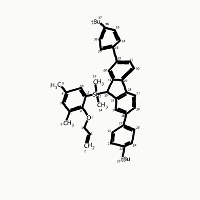 C=CCOc1c(C)cc(C)cc1[Si](C)(C)C1c2cc(-c3ccc(C(C)(C)C)cc3)ccc2-c2ccc(-c3ccc(C(C)(C)C)cc3)cc21